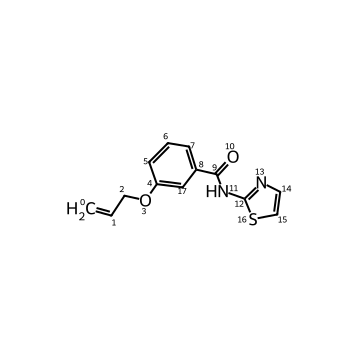 C=CCOc1cccc(C(=O)Nc2nccs2)c1